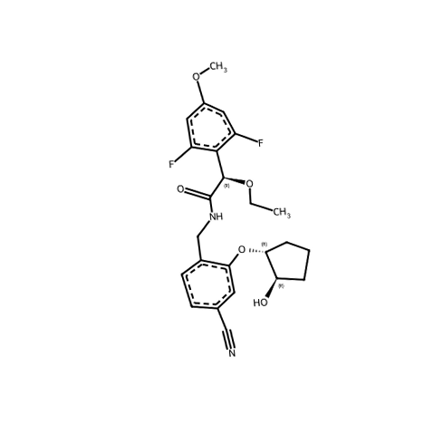 CCO[C@@H](C(=O)NCc1ccc(C#N)cc1O[C@@H]1CCC[C@H]1O)c1c(F)cc(OC)cc1F